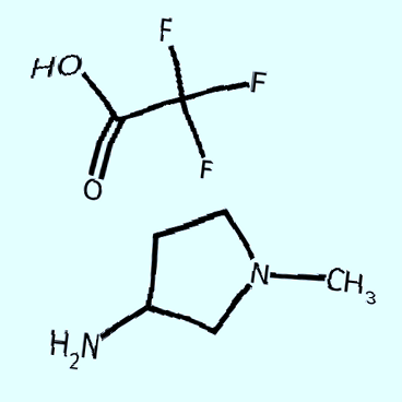 CN1CCC(N)C1.O=C(O)C(F)(F)F